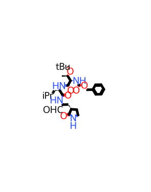 CC(C)C[C@H](NC(=O)[C@@H](NC(=O)OCc1ccccc1)[C@@H](C)OC(C)(C)C)C(=O)N[C@H](C=O)C[C@@H]1CCNC1=O